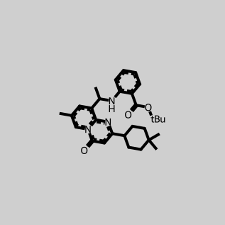 Cc1cc(C(C)Nc2ccccc2C(=O)OC(C)(C)C)c2nc(C3CCC(C)(C)CC3)cc(=O)n2c1